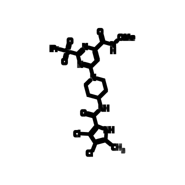 CONC(=O)c1cc(N2CCC(NC(=O)c3[nH]c(C)c(Cl)c3Cl)CC2)nc(S(=O)(=O)C(C)C)n1